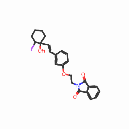 O=C1c2ccccc2C(=O)N1CCOc1cccc(C=CC2(O)CCCCC2I)c1